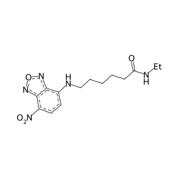 CCNC(=O)CCCCCNc1ccc([N+](=O)[O-])c2nonc12